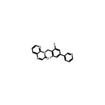 O=c1cnc2cccnc2n1Cc1c(F)cc(-c2cccnc2)cc1F